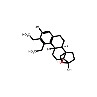 C[C@]12CC[C@@H]3c4c(cc(O)c(CC(=O)O)c4CC(=O)O)CC[C@H]3[C@]13CC[C@]2(O)CC3